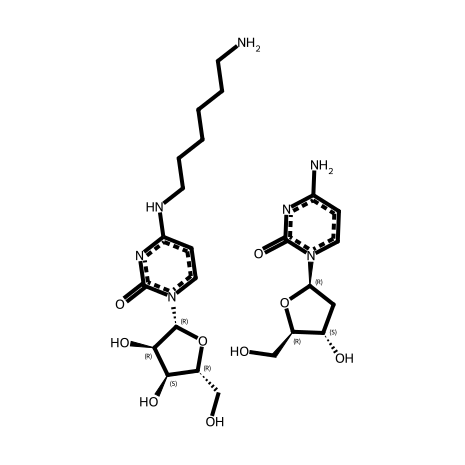 NCCCCCCNc1ccn([C@@H]2O[C@H](CO)[C@@H](O)[C@H]2O)c(=O)n1.Nc1ccn([C@H]2C[C@H](O)[C@@H](CO)O2)c(=O)n1